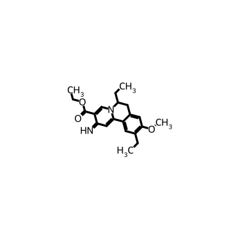 CCOC(=O)c1cn2c(cc1=N)-c1cc(CC)c(OC)cc1CC2CC